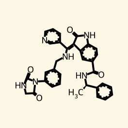 C[C@@H](NC(=O)c1ccc2c(c1)C(=C(NCc1cccc(N3C(=O)CNC3=O)c1)c1cccnc1)C(=O)N2)c1ccccc1